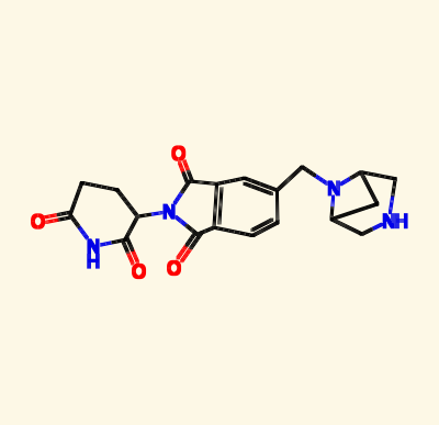 O=C1CCC(N2C(=O)c3ccc(CN4C5CNCC4C5)cc3C2=O)C(=O)N1